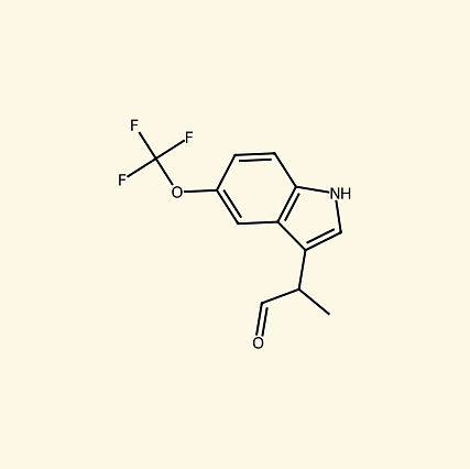 CC(C=O)c1c[nH]c2ccc(OC(F)(F)F)cc12